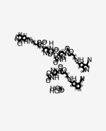 Cc1ncc(C#N)c2c1CC(CNCCC1CN(c3ccc4c(n3)NC(=O)CO4)C(=O)O1)C2.Cl.N#Cc1cccc2c1CC(CNCCC1CN(c3cnc4c(c3)NC(=O)CO4)C(=O)O1)C2.O=C1COc2ncc(N3CC(CCNCC4Cc5ccnc(Cl)c5C4)OC3=O)cc2N1.O=CO